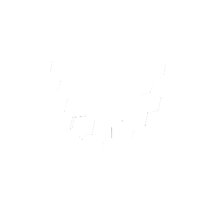 CCCCCCc1ccc(C(C)C2CCC(C(C)C3CCC(CCC)CC3)CC2)nc1